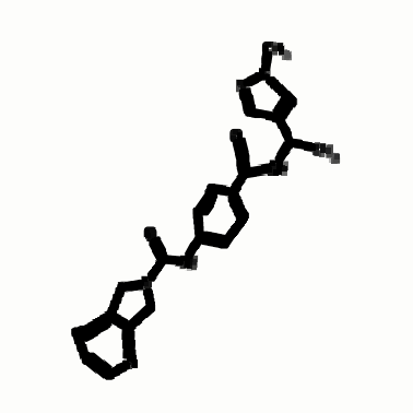 CC(NC(=O)c1ccc(NC(=O)N2Cc3cccnc3C2)cc1)c1cnn(C)c1